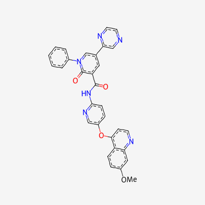 COc1ccc2c(Oc3ccc(NC(=O)c4cc(-c5cnccn5)cn(-c5ccccc5)c4=O)nc3)ccnc2c1